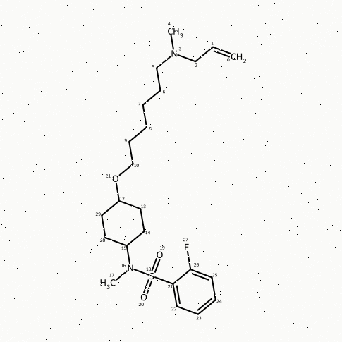 C=CCN(C)CCCCCCOC1CCC(N(C)S(=O)(=O)c2ccccc2F)CC1